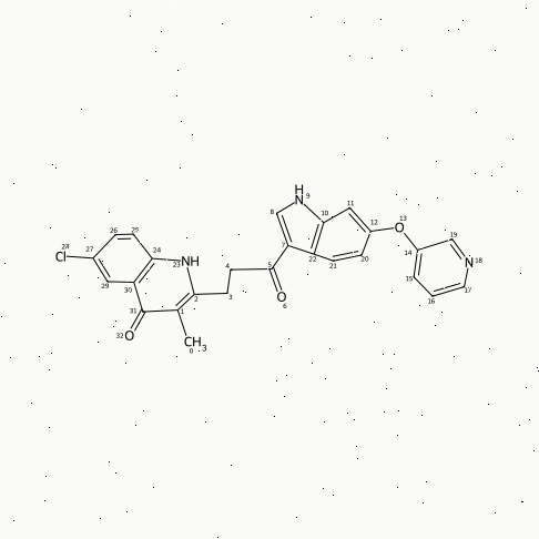 Cc1c(CCC(=O)c2c[nH]c3cc(Oc4cccnc4)ccc23)[nH]c2ccc(Cl)cc2c1=O